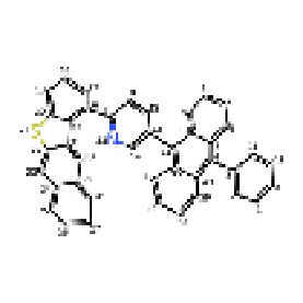 c1ccc(-c2c3ccccc3c(-c3ccc(-c4cccc5sc6cc7ccccc7cc6c45)nc3)c3ccccc23)cc1